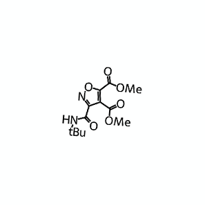 COC(=O)c1onc(C(=O)NC(C)(C)C)c1C(=O)OC